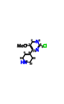 COc1cnc(Cl)nc1C1=CCNCC1